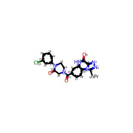 CCCc1nnc2c(=O)[nH]c3cc(C(=O)N4CCN(c5cccc(Cl)c5)C(=O)C4)ccc3n12